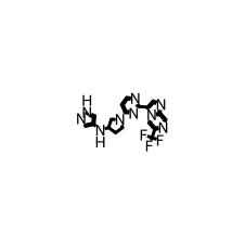 FC(F)(F)c1cn2c(-c3nccc(N4CCC(Nc5cn[nH]c5)C4)n3)cnc2cn1